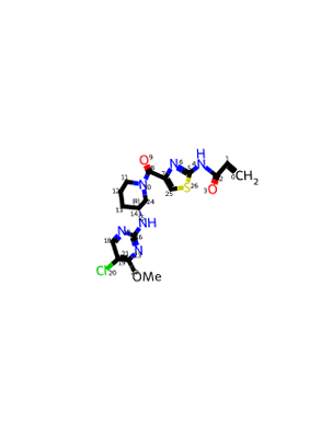 C=CC(=O)Nc1nc(C(=O)N2CCC[C@@H](Nc3ncc(Cl)c(OC)n3)C2)cs1